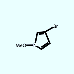 COn1ccc(Br)c1